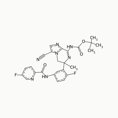 CC(C)(C)OC(=O)NC1=NC(C)(c2cc(NC(=O)c3ccc(F)cn3)ccc2F)Cn2c(C#N)cnc21